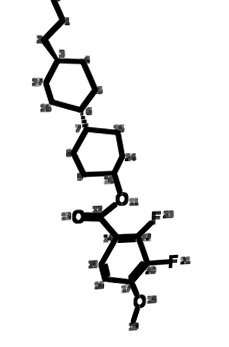 CCC[C@H]1CC[C@H](C2CCC(OC(=O)c3ccc(OC)c(F)c3F)CC2)CC1